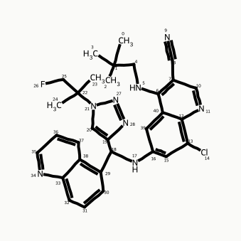 CC(C)(C)CNc1c(C#N)cnc2c(Cl)cc(NC(c3cn(C(C)(C)CF)nn3)c3cccc4ncccc34)cc12